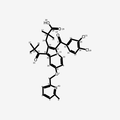 Cc1cccc(COc2ccn3c(C(=O)c4ccc(Cl)c(Cl)c4)c(CC(C)(C)C(=O)O)c(C(=O)C(C)(C)C)c3c2)n1